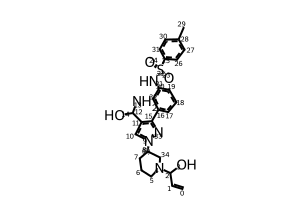 C=CC(O)N1CCC[C@@H](n2cc(C(N)O)c(-c3cccc(NS(=O)(=O)c4ccc(C)cc4)c3)n2)C1